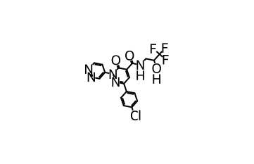 O=C(NCC(O)C(F)(F)F)c1cc(-c2ccc(Cl)cc2)nn(-c2ccnnc2)c1=O